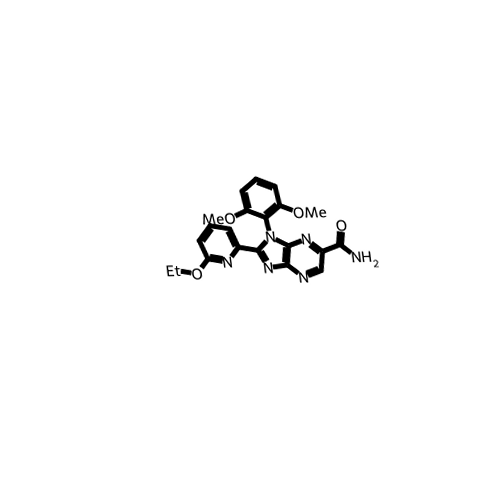 CCOc1cccc(-c2nc3ncc(C(N)=O)nc3n2-c2c(OC)cccc2OC)n1